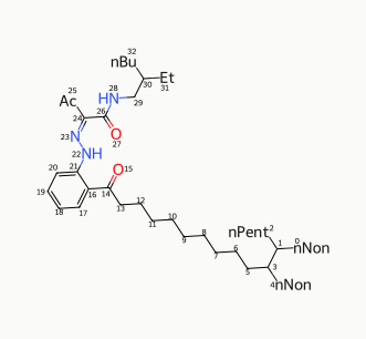 CCCCCCCCCC(CCCCC)C(CCCCCCCCC)CCCCCCCCCC(=O)c1ccccc1N/N=C(/C(C)=O)C(=O)NCC(CC)CCCC